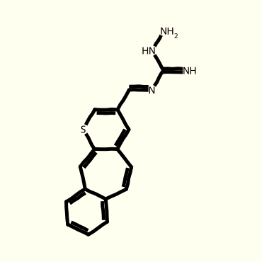 N=C(N=CC1=CSC2=Cc3ccccc3C=CC2=C1)NN